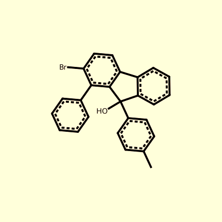 Cc1ccc(C2(O)c3ccccc3-c3ccc(Br)c(-c4ccccc4)c32)cc1